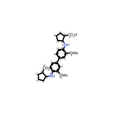 COc1cc(-c2ccc(NC3CCCC3C(=O)O)c(OC)c2)ccc1NC1CCCC1C(=O)O